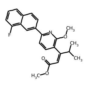 COC(=O)/C=C(\c1ccc(-c2ccc3cccc(F)c3c2)nc1OC)C(C)C